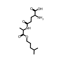 CC(C)CCCOC(=O)C(C)NC(=O)CCC(N)C(=O)O